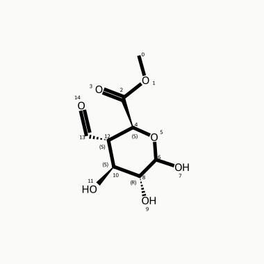 COC(=O)[C@H]1OC(O)[C@H](O)[C@@H](O)[C@@H]1C=O